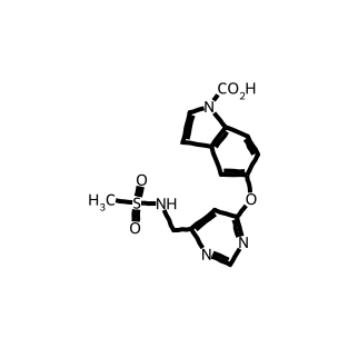 CS(=O)(=O)NCc1cc(Oc2ccc3c(ccn3C(=O)O)c2)ncn1